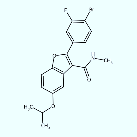 CNC(=O)c1c(-c2ccc(Br)c(F)c2)oc2ccc(OC(C)C)cc12